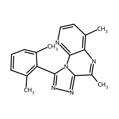 Cc1cccc(C)c1-c1nnc2c(C)nc3c(C)ccnc3n12